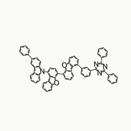 c1ccc(-c2ccc3c(c2)c2ccccc2n3-c2ccc(-c3cccc4c3oc3cccc(-c5cccc(-c6nc(-c7ccccc7)nc(-c7ccccc7)n6)c5)c34)c3oc4ccccc4c23)cc1